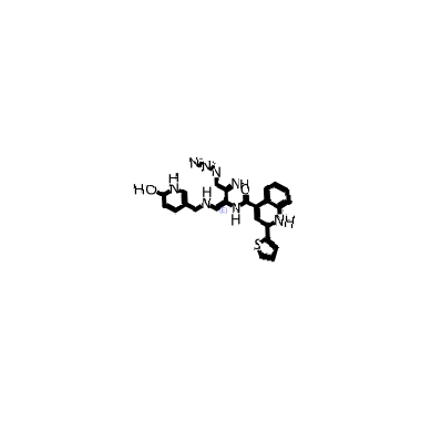 [N-]=[N+]=NCC(=N)/C(=C\NCC1=CNC(O)C=C1)NC(=O)C1=CC(c2cccs2)Nc2ccccc21